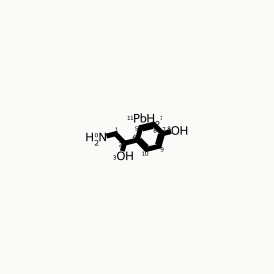 NCC(O)c1ccc(O)cc1.[PbH2]